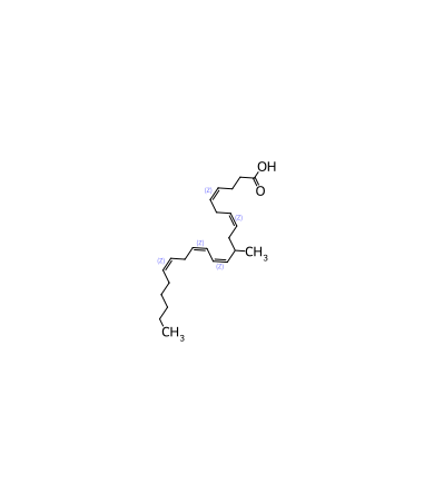 CCCCC/C=C\C/C=C\C=C/C(C)C/C=C\C/C=C\CCC(=O)O